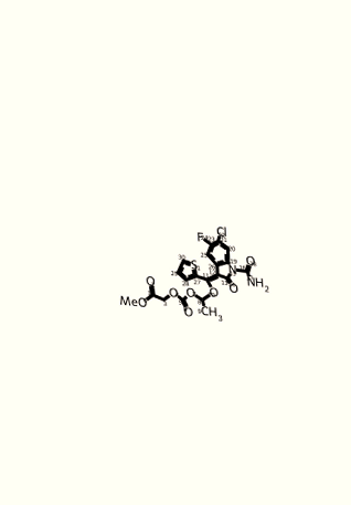 COC(=O)COC(=O)OC(C)O/C(=C1\C(=O)N(C(N)=O)c2cc(Cl)c(F)cc21)c1cccs1